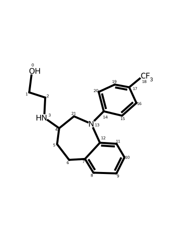 OCCNC1CCc2ccccc2N(c2ccc(C(F)(F)F)cc2)C1